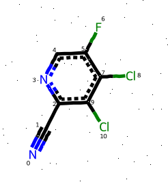 N#Cc1ncc(F)c(Cl)c1Cl